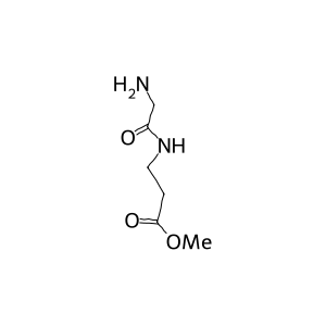 COC(=O)CCNC(=O)CN